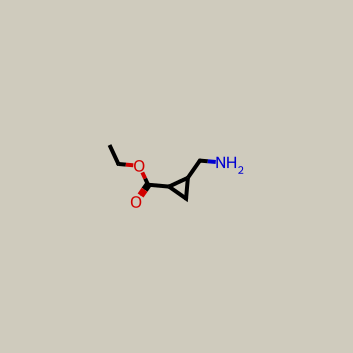 CCOC(=O)C1CC1CN